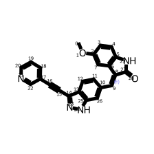 COc1ccc2c(c1)/C(=C\c1ccc3c(C#Cc4cccnc4)n[nH]c3c1)C(=O)N2